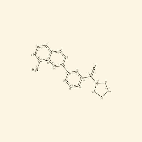 Nc1nccc2ccc(-c3cccc(C(=O)N4CCCC4)c3)cc12